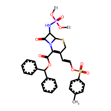 CCOP(=O)(NC1C(=O)N2C(C(=O)OC(c3ccccc3)c3ccccc3)=C(C=COS(=O)(=O)c3ccc(C)cc3)CSC12)OCC